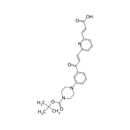 CC(C)(C)OC(=O)N1CCN(c2cccc(C(=O)C=Cc3cccc(C=CC(=O)O)n3)c2)CC1